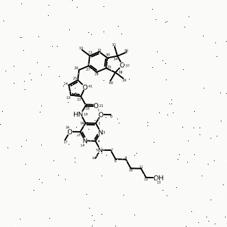 COc1nc(N(C)CCCCCCO)nc(OC)c1NC(=O)c1ccc(Cc2cc3c(cc2C)C(C)(C)OC3(C)C)o1